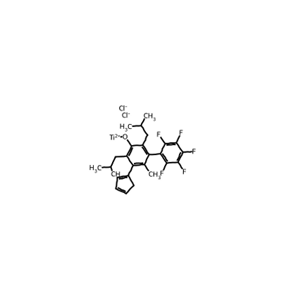 Cc1c(C2=CC=CC2)c(CC(C)C)c([O][Ti+2])c(CC(C)C)c1-c1c(F)c(F)c(F)c(F)c1F.[Cl-].[Cl-]